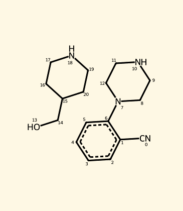 N#Cc1ccccc1N1CCNCC1.OCC1CCNCC1